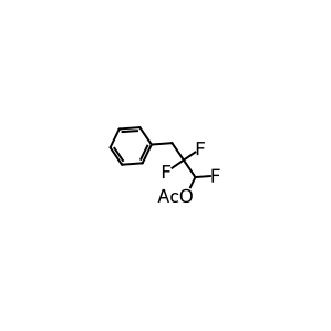 CC(=O)OC(F)C(F)(F)Cc1ccccc1